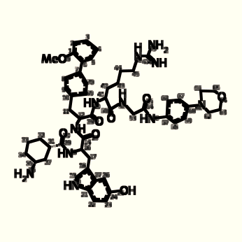 COc1ccccc1-c1ccc(CC(NC(=O)C(Cc2c[nH]c3ccc(O)cc23)NC(=O)[C@H]2CCC[C@H](N)C2)C(=O)NC(CCCCNC(=N)N)C(=O)NCC(=O)Nc2ccc(N3CCOCC3)cc2)cc1